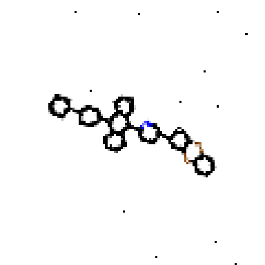 c1ccc(-c2ccc(-c3c4ccccc4c(-c4ccc(-c5ccc6c(c5)Sc5ccccc5S6)cn4)c4ccccc34)cc2)cc1